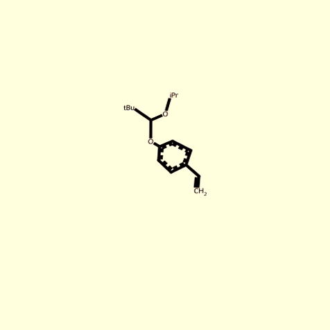 C=Cc1ccc(OC(OC(C)C)C(C)(C)C)cc1